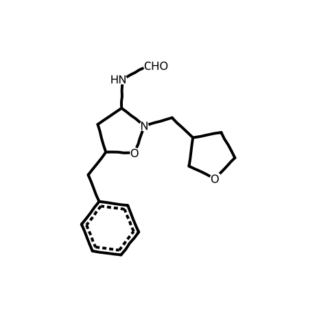 O=CNC1CC(Cc2ccccc2)ON1CC1CCOC1